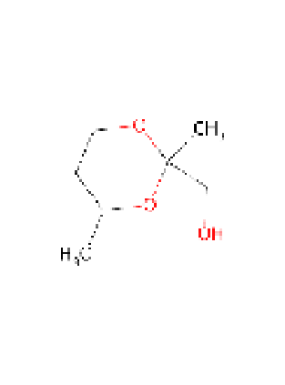 CC1CCOC(C)(CO)O1